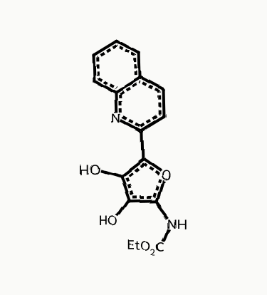 CCOC(=O)Nc1oc(-c2ccc3ccccc3n2)c(O)c1O